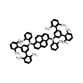 Cc1cccc(C)c1-c1cc(-c2c(C)cccc2C)cc(N(c2ccccc2C#N)c2ccc3ccc4c(N(c5cc(-c6c(C)cccc6C)cc(-c6c(C)cccc6C)c5)c5ccccc5C#N)ccc5ccc2c3c54)c1